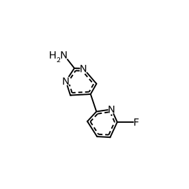 Nc1ncc(-c2cccc(F)n2)cn1